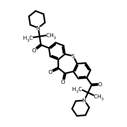 CC(C)(C(=O)c1ccc2sc3ccc(C(=O)C(C)(C)N4CCCCC4)cc3c(=O)c(=O)c2c1)N1CCCCC1